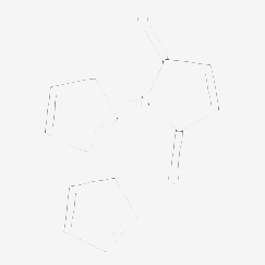 C1=CCC=C1.C1=CCC=C1.O=C1C=CC(=O)N1